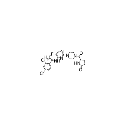 C[C@@H](Nc1nc(N2CCN(C(=O)C3CCC(=O)N3)CC2)ncc1F)c1ccc(Cl)cc1Cl